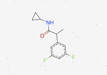 CC(C(=O)NC1CC1)c1cc(F)cc(F)c1